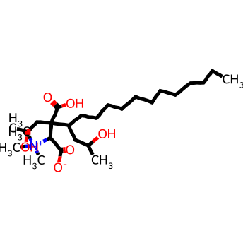 CCCCCCCCCCCCC(CC(C)O)C(CC(C)O)(C(=O)O)C(C(=O)[O-])[N+](C)(C)C